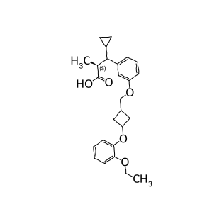 CCOc1ccccc1OC1CC(COc2cccc(C(C3CC3)[C@H](C)C(=O)O)c2)C1